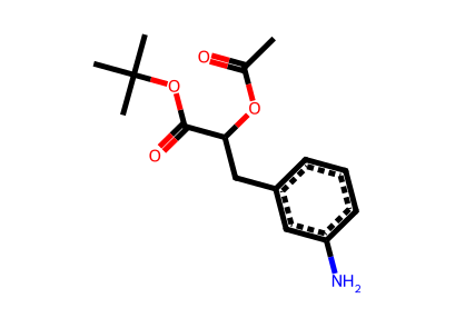 CC(=O)OC(Cc1cccc(N)c1)C(=O)OC(C)(C)C